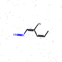 C/C=C\C(=C/N=N)C(C)C